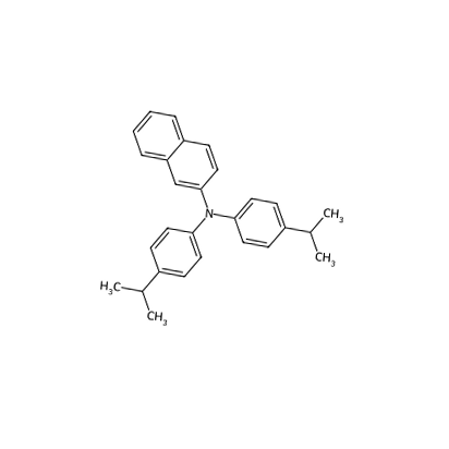 CC(C)c1ccc(N(c2ccc(C(C)C)cc2)c2ccc3ccccc3c2)cc1